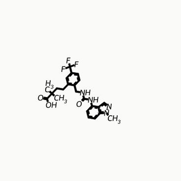 Cn1ncc2c(NC(=O)NCc3ccc(C(F)(F)F)cc3CCC(C)(C)C(=O)O)cccc21